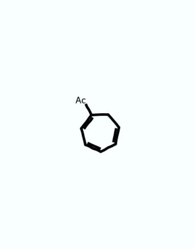 CC(=O)C1=CC=CC=CC1